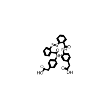 O=C(O)Cc1ccc(NC(=O)c2ccccc2SSc2ccccc2C(=O)Nc2ccc(CC(=O)O)cc2)cc1